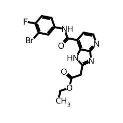 CCOC(=O)Cc1nc2nccc(C(=O)Nc3ccc(F)c(Br)c3)c2[nH]1